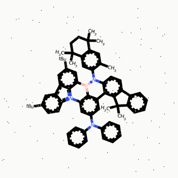 Cc1cc2c(cc1N1B3c4c(cc(N(c5ccccc5)c5ccccc5)cc4-n4c5ccc(C(C)(C)C)cc5c5cc(C(C)(C)C)cc3c54)-c3c1ccc1c3C(C)(C)c3ccccc3-1)C(C)(C)CCC2(C)C